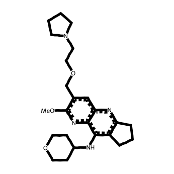 COc1nc2c(NC3CCOCC3)c3c(nc2cc1COCCN1CCCC1)CCC3